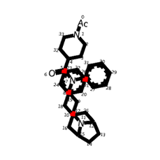 CC(=O)N1CCC(C(=O)N(CCCN2C3CCC2CC(Cc2ccccc2)C3)c2ccccc2)CC1